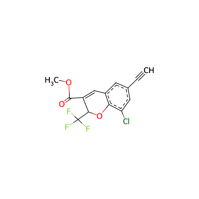 C#Cc1cc(Cl)c2c(c1)C=C(C(=O)OC)C(C(F)(F)F)O2